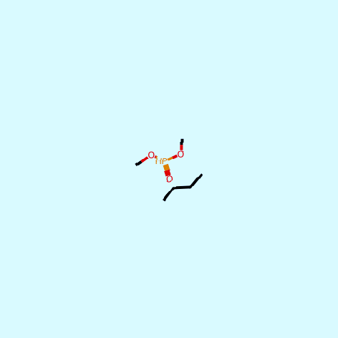 CCCC.CO[PH](=O)OC